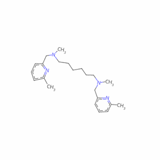 Cc1cccc(CN(C)CCCCCCN(C)Cc2cccc(C)n2)n1